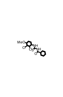 COc1ccc(NC(=S)NC(=O)c2ccccc2)c(Cl)c1Cl